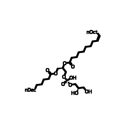 CCCCCCCC/C=C\CCCCCCCC(=O)O[C@H](COC(=O)CCCCCCCCCCCCCC)COP(=O)(O)OC[C@@H](O)CO